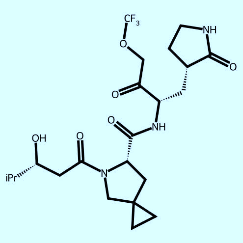 CC(C)[C@H](O)CC(=O)N1CC2(CC2)C[C@H]1C(=O)N[C@@H](C[C@@H]1CCNC1=O)C(=O)COC(F)(F)F